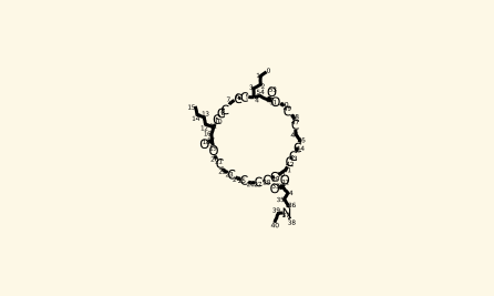 CCCCC1CCCCCCC(CCCC)CC(=O)OCCCCCCCCCCC(OC(=O)CCCN(C)CC)CCCCCCCCCCOC(=O)C1